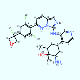 C[C@H]1C[C@@H](c2ccncc2Nc2ncc3ccc(-c4c(F)cc(C5(F)COC5)cc4F)nn23)C[C@@H](N)[C@]1(C)O